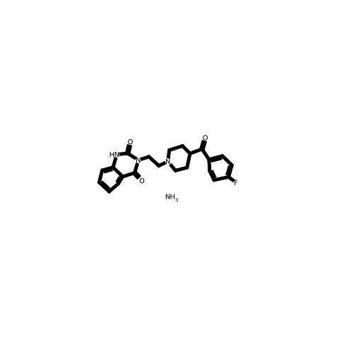 N.O=C(c1ccc(F)cc1)C1CCN(CCn2c(=O)[nH]c3ccccc3c2=O)CC1